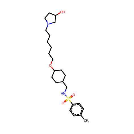 O=S(=O)(NCC1CCC(OCCCCCCN2CCC(O)C2)CC1)c1ccc(C(F)(F)F)cc1